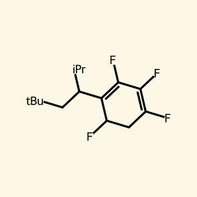 CC(C)C(CC(C)(C)C)C1=C(F)C(F)=C(F)CC1F